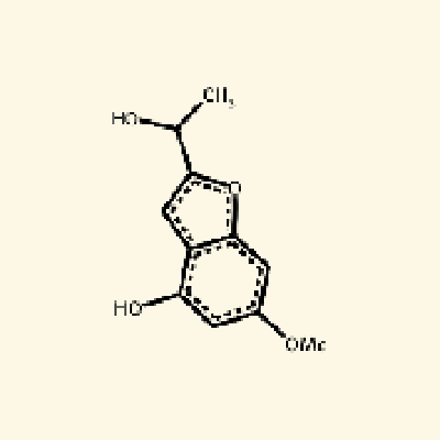 COc1cc(O)c2cc(C(C)O)oc2c1